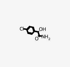 NC(=O)[C@H](O)c1ccc(Cl)cc1